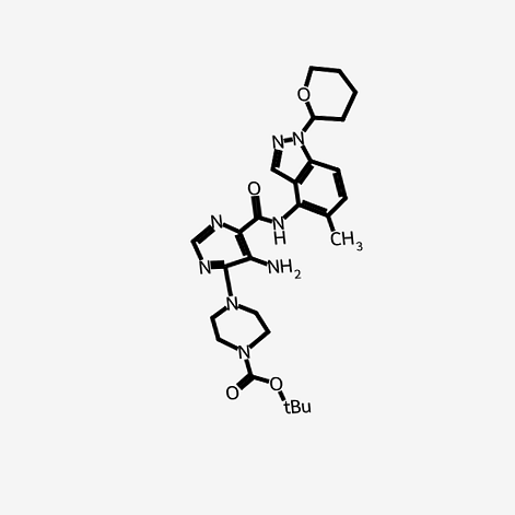 Cc1ccc2c(cnn2C2CCCCO2)c1NC(=O)c1ncnc(N2CCN(C(=O)OC(C)(C)C)CC2)c1N